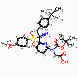 COc1ccc(S(=O)(=O)C(N)(Cc2ccc(C(C)(C)C)cc2)c2cccc(N(CC(=O)O)C(=O)OC(C)(C)C)n2)cc1